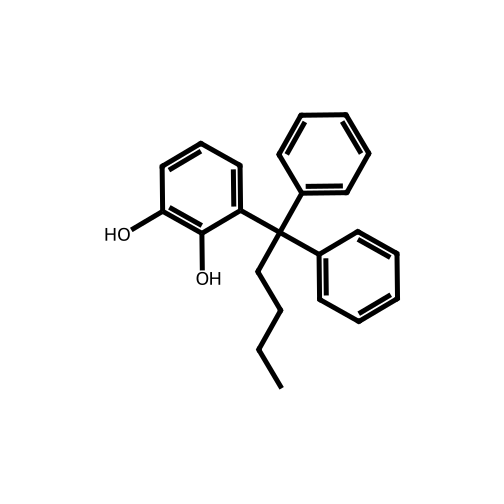 CCCCC(c1ccccc1)(c1ccccc1)c1cccc(O)c1O